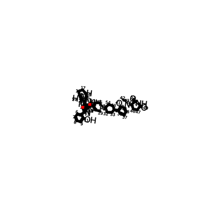 Nc1nnc(-c2ccccc2O)cc1N1C[C@H]2CC[C@@H](C1)N2c1nccc(C2CCN(C3CCC(c4cccc5c4OCCN5[C@@H]4CCC(=O)NC4=O)CC3)CC2)n1